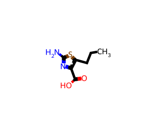 CCCc1sc(N)nc1C(=O)O